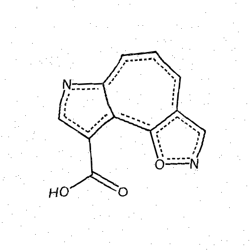 O=C(O)c1cnc2cccc3cnoc3c1-2